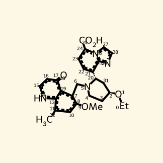 CCO[C@H]1CCN(Cc2c(OC)cc(C)c3[nH]ccc(=O)c23)[C@H](c2ccc(C(=O)O)n3ccnc23)C1